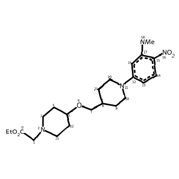 CCOC(=O)CN1CCC(OCC2CCN(c3ccc([N+](=O)[O-])c(NC)c3)CC2)CC1